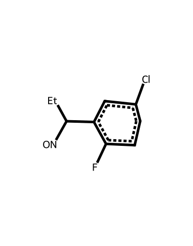 CCC(N=O)c1cc(Cl)ccc1F